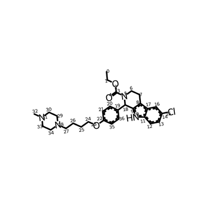 CCOC(=O)N1CCc2c([nH]c3ccc(Cl)cc23)C1c1ccc(OCCCCN2CCN(C)CC2)cc1